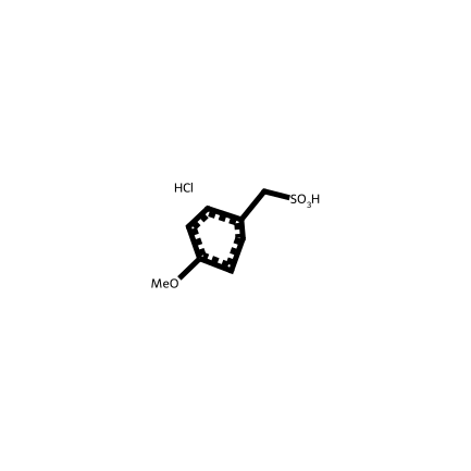 COc1ccc(CS(=O)(=O)O)cc1.Cl